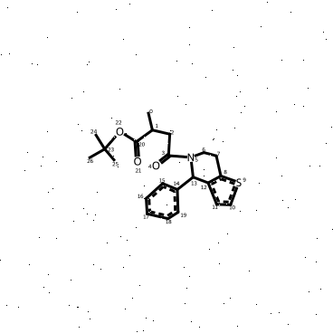 CC(CC(=O)N1CCc2sccc2C1c1ccccc1)C(=O)OC(C)(C)C